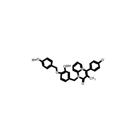 COc1ccc(COc2ccc(Cn3c(=O)c(C)c(-c4ccc([O-])cc4)[n+]4ccccc34)cc2OC)cc1